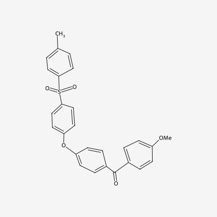 COc1ccc(C(=O)c2ccc(Oc3ccc(S(=O)(=O)c4ccc(C)cc4)cc3)cc2)cc1